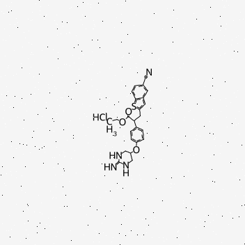 CCOC(=O)C(Cc1cc2cc(C#N)ccc2s1)c1ccc(OC2CNC(=N)NC2)cc1.Cl